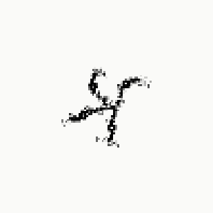 CC(C)=CCCC1=CCC(C(=O)OCCCCN(CCC(=O)OCCOC(=O)C2CC=C(CCC=C(C)C)CC2)C(C)CN(CCC(=O)OCCOC(=O)C2CC=C(CCC=C(C)C)CC2)CCC(=O)OCCOC(=O)C2CC=C(CCC=C(C)C)CC2)CC1